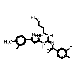 CCOCCCN/C(=N/C(=O)c1ccc(F)c(F)c1)Nc1cc(-c2ccc(C)c(F)c2)n[nH]1